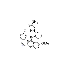 COc1ccc2nc(/C=C\c3ccc(Cl)cc3)nc(NC3CCCCC3NCC(N)=O)c2c1